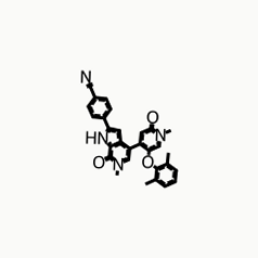 Cc1cccc(C)c1Oc1cn(C)c(=O)cc1-c1cn(C)c(=O)c2[nH]c(-c3ccc(C#N)cc3)cc12